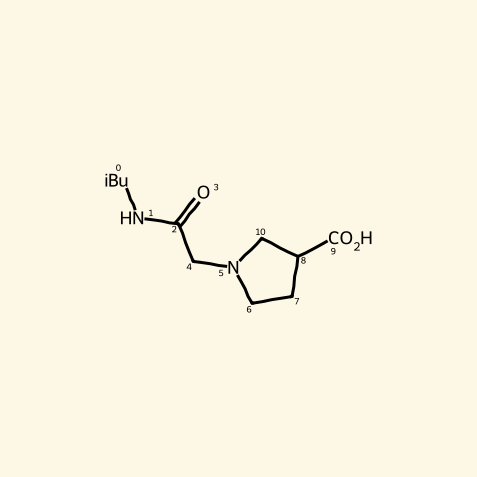 CCC(C)NC(=O)CN1CCC(C(=O)O)C1